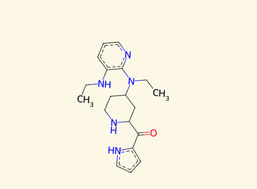 CCNc1cccnc1N(CC)C1CCNC(C(=O)c2ccc[nH]2)C1